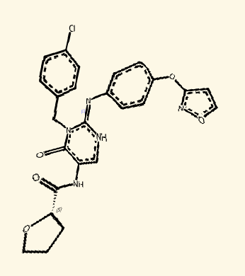 O=C(Nc1c[nH]/c(=N\c2ccc(Oc3ccon3)cc2)n(Cc2ccc(Cl)cc2)c1=O)[C@@H]1CCCO1